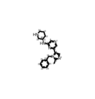 Cc1ncc(-c2cncc(N[C@@H]3CCCNC3)n2)n1Cc1ccccc1